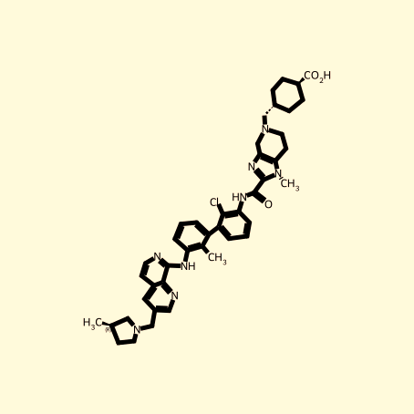 Cc1c(Nc2nccc3cc(CN4CC[C@@H](C)C4)cnc23)cccc1-c1cccc(NC(=O)c2nc3c(n2C)CCN(C[C@H]2CC[C@H](C(=O)O)CC2)C3)c1Cl